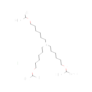 CCCCC(C)OCCCCC[CH2][Sn+]([CH2]CCCCCOC(C)CCCC)[CH2]CCCCCOC(C)CCCC.[Cl-]